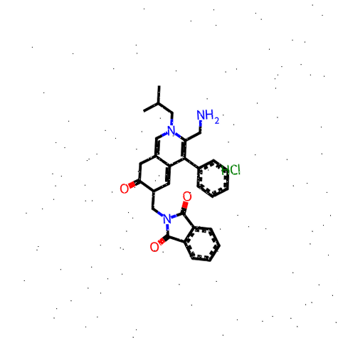 CC(C)CN1C=C2CC(=O)C(CN3C(=O)c4ccccc4C3=O)C=C2C(c2ccccc2)=C1CN.Cl